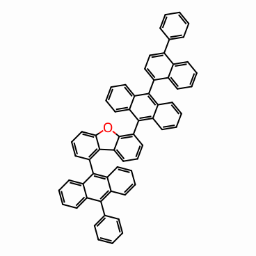 c1ccc(-c2ccc(-c3c4ccccc4c(-c4cccc5c4oc4cccc(-c6c7ccccc7c(-c7ccccc7)c7ccccc67)c45)c4ccccc34)c3ccccc23)cc1